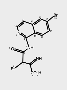 CCC(C(=N)C(=O)O)C(=O)Nc1nccc2cc(Br)ccc12